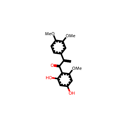 C=C(C(=O)c1c(O)cc(O)cc1OC)c1ccc(OC)c(OC)c1